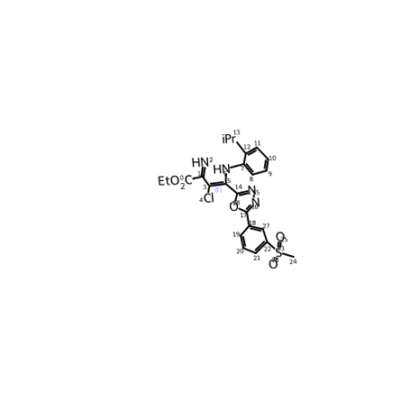 CCOC(=O)C(=N)/C(Cl)=C(\Nc1ccccc1C(C)C)c1nnc(-c2cccc(S(C)(=O)=O)c2)o1